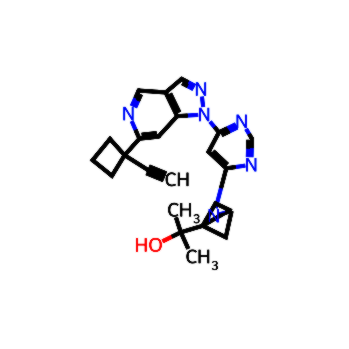 C#CC1(c2cc3c(cn2)cnn3-c2cc(N3CC4(C(C)(C)O)CC3C4)ncn2)CCC1